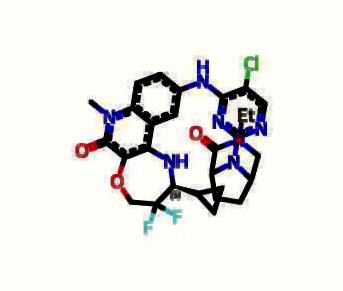 CCN1CC2CCC(C1=O)N2c1ncc(Cl)c(Nc2ccc3c(c2)c2c(c(=O)n3C)OCC(F)(F)[C@H](C3CC3)N2)n1